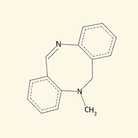 CN1Cc2ccccc2N=Cc2ccccc21